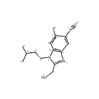 [C-]#[N+]c1cc2nc(CO)n(CCC(C)C)c2cc1C